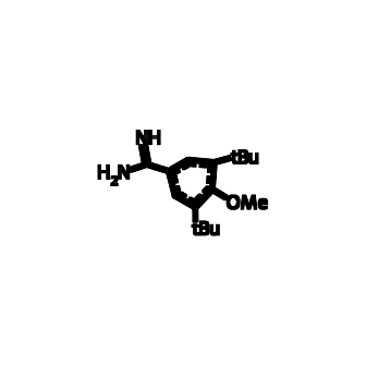 COc1c(C(C)(C)C)cc(C(=N)N)cc1C(C)(C)C